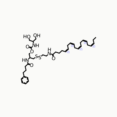 CC/C=C\C/C=C\C/C=C\C/C=C\C/C=C\CCCC(=O)NCCSSCC(COC(=O)NC(CO)CO)NC(=O)CCCc1ccccc1